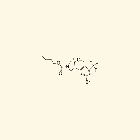 CCCCOC(=O)N1CC2c3cc(Br)cc(C(F)(F)F)c3COC2(C)C1